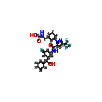 O=C(O)NCc1cccc(-n2nc(C(F)(F)F)cc2C(=O)Nc2cc(F)cc(C(O)c3ccccc3)c2)c1